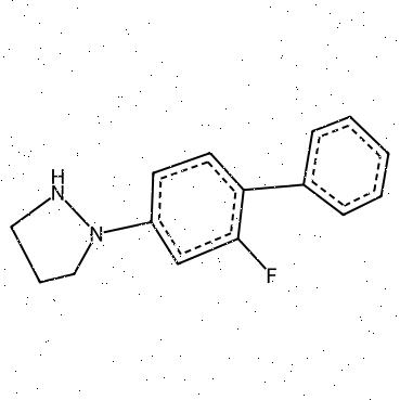 Fc1cc(N2CCCN2)ccc1-c1ccccc1